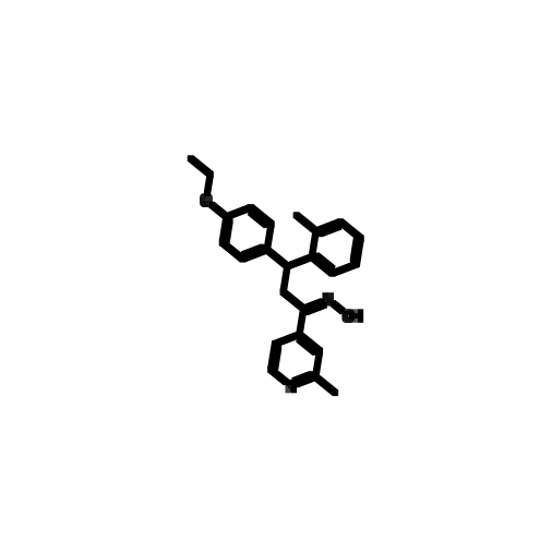 CCOc1ccc(C(CC(=NO)c2ccnc(C)c2)c2ccccc2C)cc1